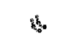 c1ccc(OCCN2CCC(CCn3ccnc3)CC2)cc1.c1ccc(SCCN2CCC(CCn3ccnc3)CC2)cc1